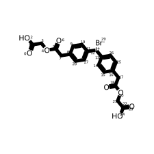 O=C(O)COC(=O)Cc1ccc([I+]c2ccc(CC(=O)OCC(=O)O)cc2)cc1.[Br-]